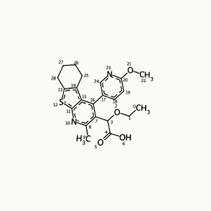 CCOC(C(=O)O)c1c(C)nc2sc3c(c2c1-c1ccc(OC)nc1)CCCC3